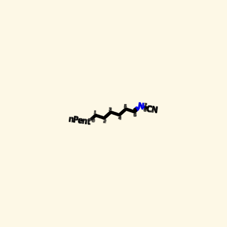 CCCCCCCCCCC=NC#N